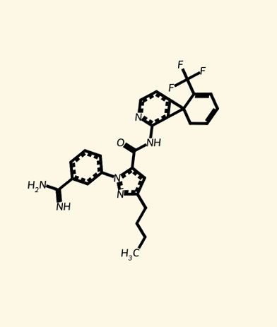 CCCCc1cc(C(=O)Nc2nccc3c2C32CC=CC=C2C(F)(F)F)n(-c2cccc(C(=N)N)c2)n1